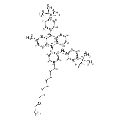 CCOCCCCCCCCc1ccc2c(c1)N(c1ccc(C(C)(C)C)cc1)c1cccc3c1B2c1ccc(C)cc1N3c1ccc(C(C)(C)C)cc1